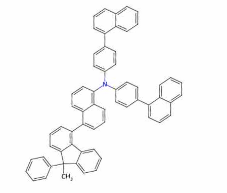 CC1(c2ccccc2)c2ccccc2-c2c(-c3cccc4c(N(c5ccc(-c6cccc7ccccc67)cc5)c5ccc(-c6cccc7ccccc67)cc5)cccc34)cccc21